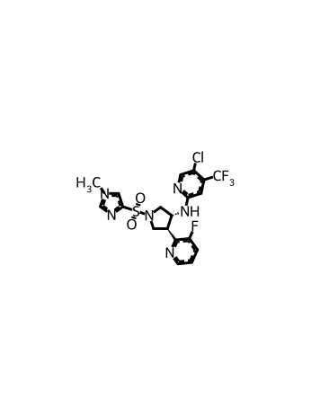 Cn1cnc(S(=O)(=O)N2C[C@H](Nc3cc(C(F)(F)F)c(Cl)cn3)[C@@H](c3ncccc3F)C2)c1